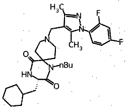 CCCCN1C(=O)[C@H](CC2CCCCC2)NC(=O)C12CCN(Cc1c(C)nn(-c3ccc(F)cc3F)c1C)CC2